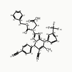 CC1=C(C#N)[C@@H](c2ccc(C#N)cc2)n2nc(N(CC(=O)O)C(=O)OCc3ccccc3)nc2N1c1cccc(C(F)(F)F)c1